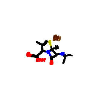 Br.CC1=CS[C@H]2C(N=C(C)C)C(=O)N2C1C(=O)O